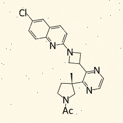 CC(=O)N1CC[C@](C)(c2nccnc2C2CN(c3ccc4cc(Cl)ccc4n3)C2)C1